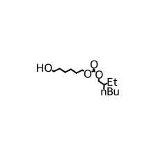 CCCCC(CC)COC(=O)OCCCCCCO